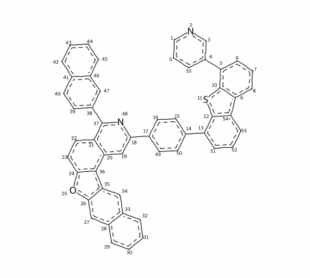 c1cncc(-c2cccc3c2sc2c(-c4ccc(-c5cc6c(ccc7oc8cc9ccccc9cc8c76)c(-c6ccc7ccccc7c6)n5)cc4)cccc23)c1